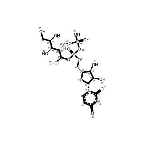 O=C[C@H](OP(=O)(OC[C@H]1O[C@@H](n2ccc(=O)[nH]c2=O)[C@H](O)[C@@H]1O)OP(=O)(O)O)[C@@H](O)[C@H](O)[C@H](O)CO